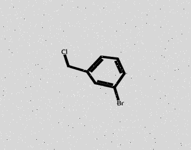 ClCc1cc[c]c(Br)c1